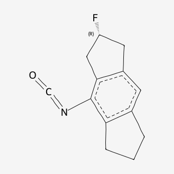 O=C=Nc1c2c(cc3c1C[C@H](F)C3)CCC2